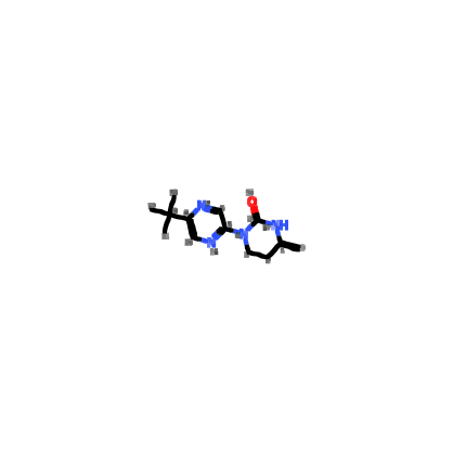 C=C1CCN(c2cnc(C(C)(C)C)cn2)C(=O)N1